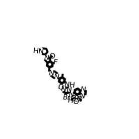 COc1cc(N2CCN(Cc3cc(F)c4c(c3)CN(C3CCCNC3)C4=O)CC2)c(C)cc1Nc1ncc(Br)c(Nc2ccc3nccnc3c2P(=O)(OC)OC)n1